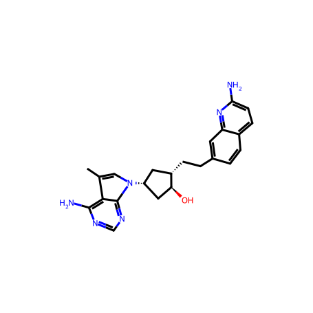 Cc1cn([C@@H]2C[C@H](CCc3ccc4ccc(N)nc4c3)[C@@H](O)C2)c2ncnc(N)c12